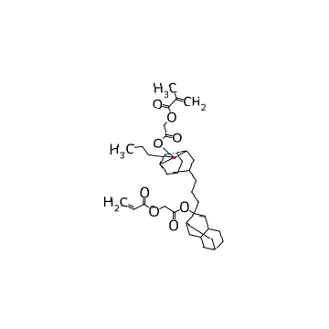 C=CC(=O)OCC(=O)OC1(CCCC2CC3CC(CCC)(OC(=O)COC(=O)C(=C)C)C4CC2CC3C4)CC2CCC3CC2CC1C3